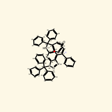 O=C/C=C(/c1ccccc1)c1cc(NC(c2ccccc2)(c2ccccc2)c2ccccc2)nc2c1nnn2C(c1ccccc1)(c1ccccc1)c1ccccc1